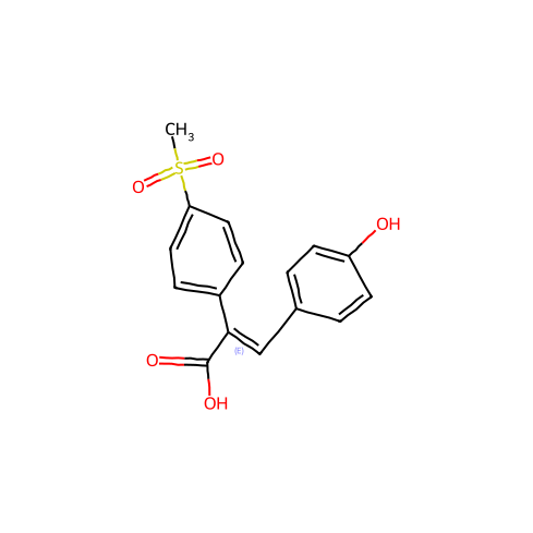 CS(=O)(=O)c1ccc(/C(=C\c2ccc(O)cc2)C(=O)O)cc1